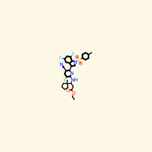 CCOC(=O)CC(Nc1nc(-c2cn(S(=O)(=O)c3ccc(C)cc3)c3c(F)cc(F)cc23)c(C#N)cc1F)C1(C)CCCC1